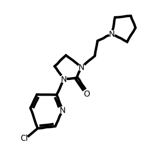 O=C1N(CCN2CCCC2)CCN1c1ccc(Cl)cn1